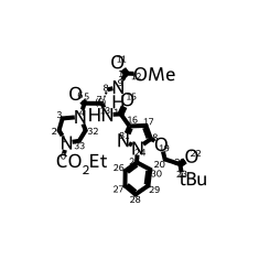 CCOC(=O)N1CCN(C(=O)[C@H](CNC(=O)OC)NC(=O)c2cc(OCC(=O)C(C)(C)C)n(-c3ccccc3)n2)CC1